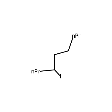 CCCCCC(I)CCC